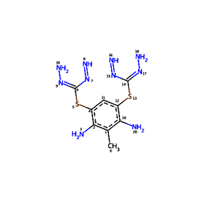 Cc1c(N)c(SC(N=N)=NN)cc(SC(N=N)=NN)c1N